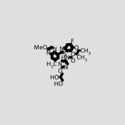 COc1cnc2c(-c3nc4cc(F)c(O[C@@H](C)[C@@H](C)OC(=O)Nc5cnc(OC[C@@H](O)CO)nc5)cc4s3)cc(C)cc2n1